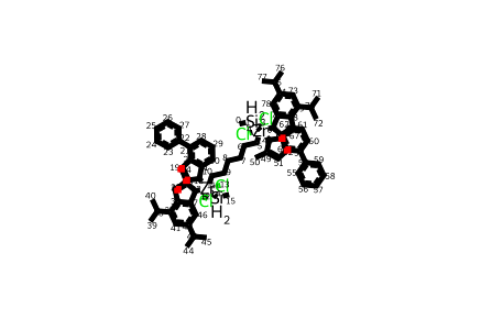 C[SiH2][Zr]([Cl])([Cl])([CH2]CCCC[CH2][Zr]([Cl])([Cl])([SiH2]C)([CH]1C(C)=Cc2c(-c3ccccc3)cccc21)[CH]1C(C)=Cc2c(C(C)C)cc(C(C)C)cc21)([CH]1C(C)=Cc2c(-c3ccccc3)cccc21)[CH]1C(C)=Cc2c(C(C)C)cc(C(C)C)cc21